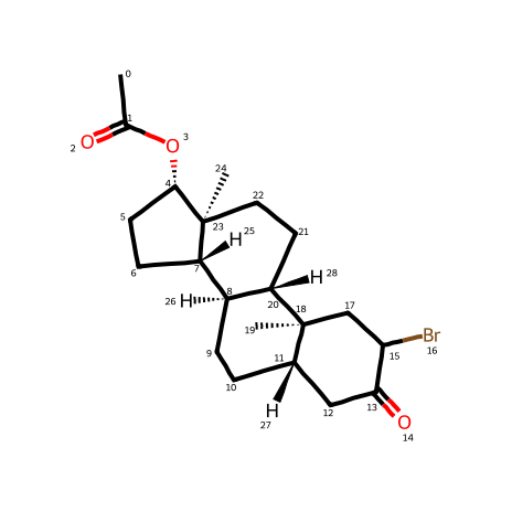 CC(=O)O[C@H]1CC[C@H]2[C@@H]3CC[C@H]4CC(=O)C(Br)C[C@]4(C)[C@H]3CC[C@]12C